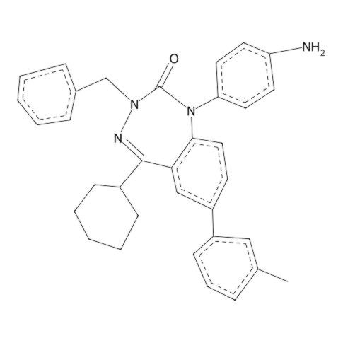 Cc1cccc(-c2ccc3c(c2)C(C2CCCCC2)=NN(Cc2ccccc2)C(=O)N3c2ccc(N)cc2)c1